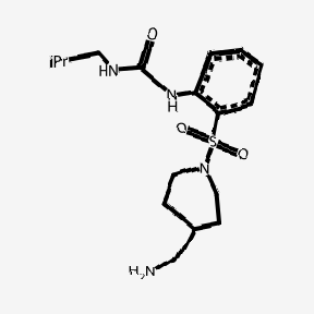 CC(C)CNC(=O)Nc1ccccc1S(=O)(=O)N1CCC(CN)CC1